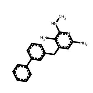 NNc1nc(N)cc(Cc2cccc(-c3ccccc3)c2)c1N